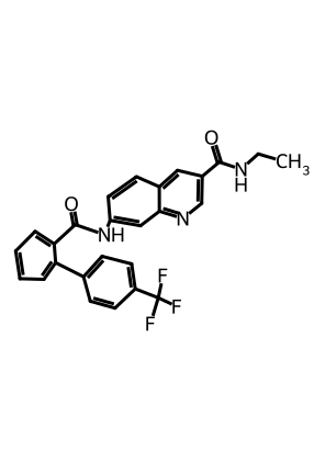 CCNC(=O)c1cnc2cc(NC(=O)c3ccccc3-c3ccc(C(F)(F)F)cc3)ccc2c1